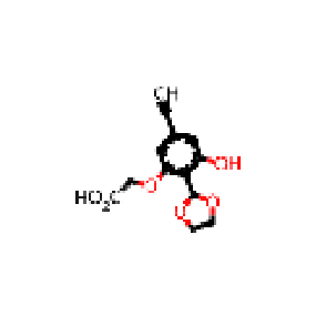 C#Cc1cc(O)c(C2OCCO2)c(OCC(=O)O)c1